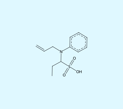 C=CCN(c1ccccc1)C(CC)S(=O)(=O)O